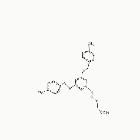 Cc1ccc(COc2cc(C=NOCC(=O)O)cc(OCc3ccc(C)cc3)c2)cc1